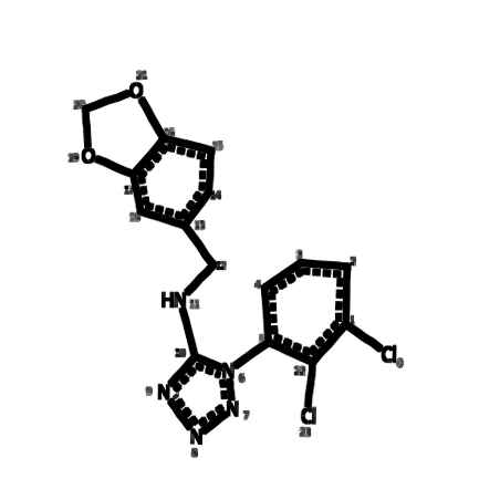 Clc1cccc(-n2nnnc2NCc2ccc3c(c2)OCO3)c1Cl